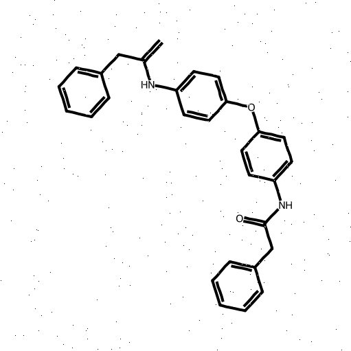 C=C(Cc1ccccc1)Nc1ccc(Oc2ccc(NC(=O)Cc3ccccc3)cc2)cc1